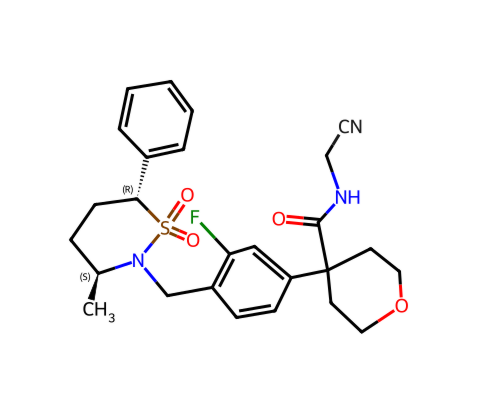 C[C@H]1CC[C@H](c2ccccc2)S(=O)(=O)N1Cc1ccc(C2(C(=O)NCC#N)CCOCC2)cc1F